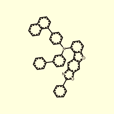 c1ccc(-c2cccc(N(c3ccc(-c4cccc5ccccc45)cc3)c3cccc4oc5cc6oc(-c7ccccc7)nc6cc5c34)c2)cc1